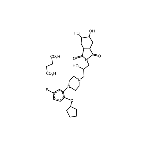 O=C(O)CCC(=O)O.O=C1C2CC(O)C(O)CC2C(=O)N1CC(O)CN1CCN(c2cc(F)ccc2OC2CCCC2)CC1